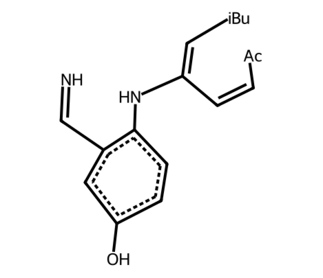 CCC(C)/C=C(\C=C/C(C)=O)Nc1ccc(O)cc1C=N